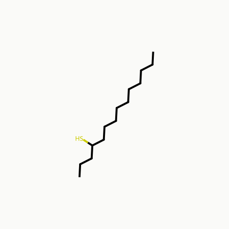 CCCCCCCCCCC(S)CCC